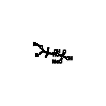 CC(C)(CO)C(Br)OBr.COP(=O)(O)O